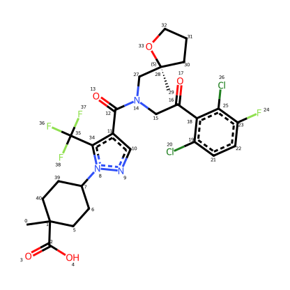 CC1(C(=O)O)CCC(n2ncc(C(=O)N(CC(=O)c3c(Cl)ccc(F)c3Cl)C[C@]3(C)CCCO3)c2C(F)(F)F)CC1